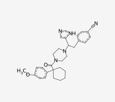 COc1ccc(C2(C(=O)N3CCN(C(Cc4ccc(C#N)cc4)c4cnc[nH]4)CC3)CCCCC2)cc1